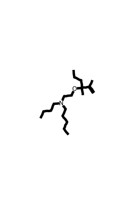 C=C(C)C(C)(CCC)OCCN(CCCC)CCCCC